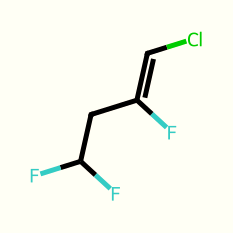 FC(=CCl)CC(F)F